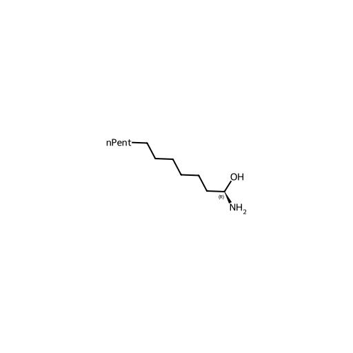 CCCCCCCCCCC[C@H](N)O